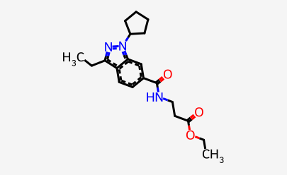 CCOC(=O)CCNC(=O)c1ccc2c(CC)nn(C3CCCC3)c2c1